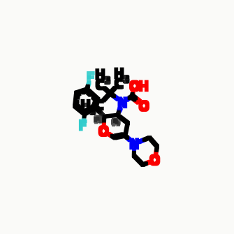 CC(C)(C)N(C(=O)O)[C@H]1CC(N2CCOCC2)=CO[C@H]1c1cc(F)ccc1F